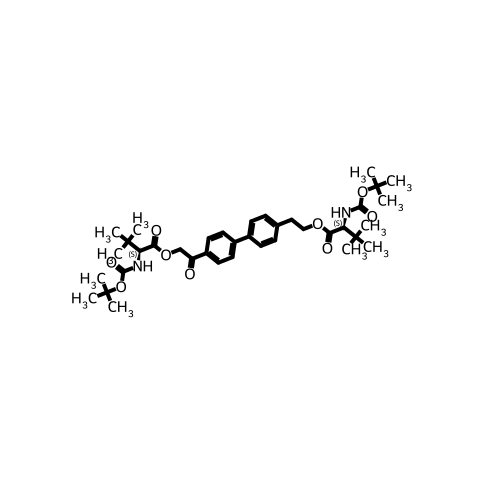 CC(C)(C)OC(=O)N[C@H](C(=O)OCCc1ccc(-c2ccc(C(=O)COC(=O)[C@@H](NC(=O)OC(C)(C)C)C(C)(C)C)cc2)cc1)C(C)(C)C